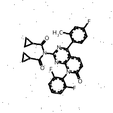 Cc1cc(F)ccc1-c1nc(N(C(=O)C2CC2)C(=O)C2CC2)nc2c1ccc(=O)n2-c1c(F)cccc1F